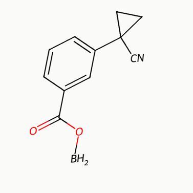 BOC(=O)c1cccc(C2(C#N)CC2)c1